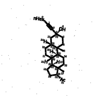 CCCCCCC#C[C@@]1(O)CC[C@@]2(C)[C@H](CC[C@@H]3[C@@H]2CC[C@]2(C)[C@@H](C(C)=O)CC[C@@H]32)C1